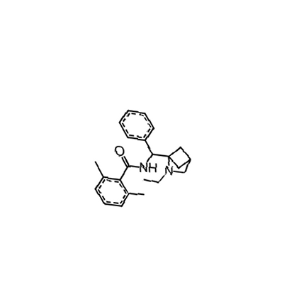 CCN1CC2CC1(C(NC(=O)c1c(C)cccc1C)c1ccccc1)C2